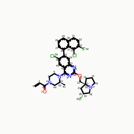 C=CC(=O)N1CCN(c2nc(OC[C@@]34CCCN3C[C@H](F)C4)nc3cc(-c4cccc5ccc(F)c(Cl)c45)c(Cl)cc23)[C@@H](C)C1